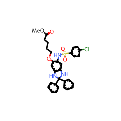 COC(=O)CCCCOc1cc2c(cc1NS(=O)(=O)c1ccc(Cl)cc1)NC(c1ccccc1)(c1ccccc1)N2